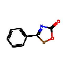 O=c1nc(-c2ccccc2)so1